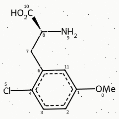 COc1ccc(Cl)c(C[C@H](N)C(=O)O)c1